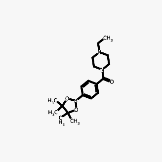 CCN1CCN(C(=O)c2ccc(B3OC(C)(C)C(C)(C)O3)cc2)CC1